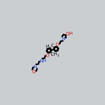 Cc1c(OCCCNCCCN2CCOCC2)cccc1-c1cccc(OCCCN2CCC(O)C2)c1C